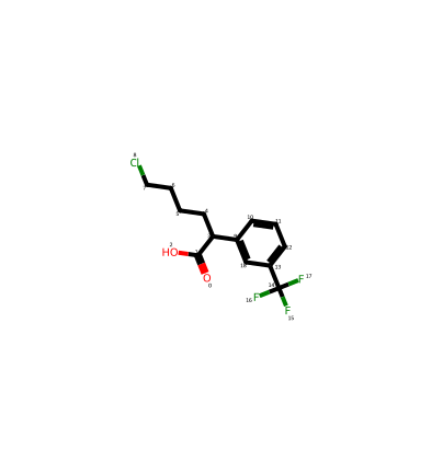 O=C(O)C(CCCCCl)c1cccc(C(F)(F)F)c1